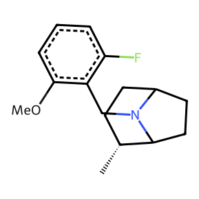 COc1cccc(F)c1CN1C2CCC1[C@H](C)CC2